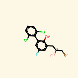 Oc1c(C[C@H](O)CBr)cc(F)cc1-c1c(Cl)cccc1Cl